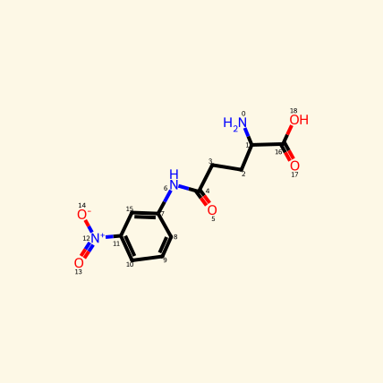 NC(CCC(=O)Nc1cccc([N+](=O)[O-])c1)C(=O)O